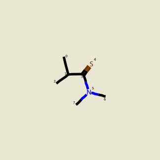 CC(C)C(=S)N(C)C